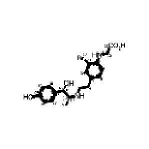 C[C@H](NCCc1ccc(NCC(=O)O)c(Br)c1)[C@H](O)c1ccc(O)cc1